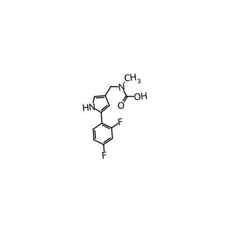 CN(Cc1c[nH]c(-c2ccc(F)cc2F)c1)C(=O)O